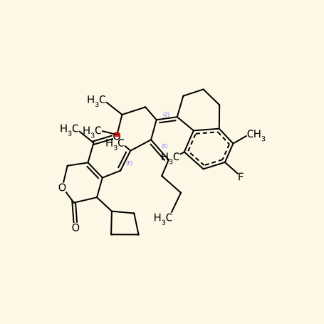 CCC/C=C(C(/CC(C)CC)=C1/CCCc2c(C)c(F)cc(C)c21)\C(C)=C\C1=C(C(C)=O)COC(=O)C1C1CCC1